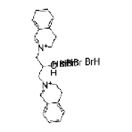 Br.Br.Br.Br.OC(C[N+]1=Cc2ccccc2CC1)C[N+]1=Cc2ccccc2CC1